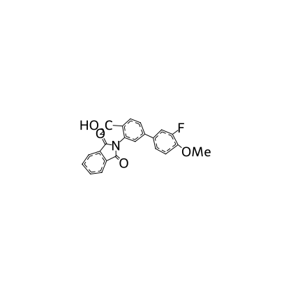 COc1ccc(-c2ccc(C(=O)O)c(N3C(=O)c4ccccc4C3=O)c2)cc1F